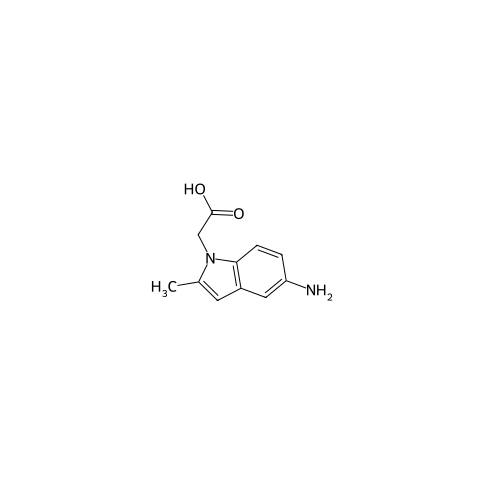 Cc1cc2cc(N)ccc2n1CC(=O)O